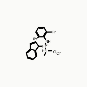 CC(C)c1cccc(C(C)C)c1[NH][Hf+2]([CH]1C=Cc2ccccc21)[SiH](C)C.[Cl-].[Cl-]